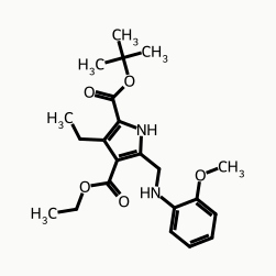 CCOC(=O)c1c(CNc2ccccc2OC)[nH]c(C(=O)OC(C)(C)C)c1CC